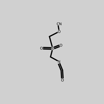 N#COCS(=O)(=O)CN=C=O